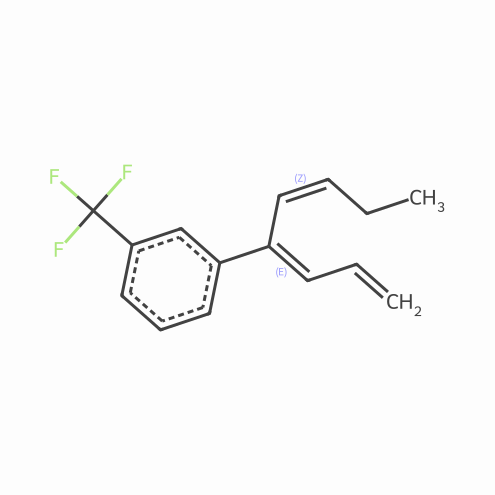 C=C/C=C(\C=C/CC)c1cccc(C(F)(F)F)c1